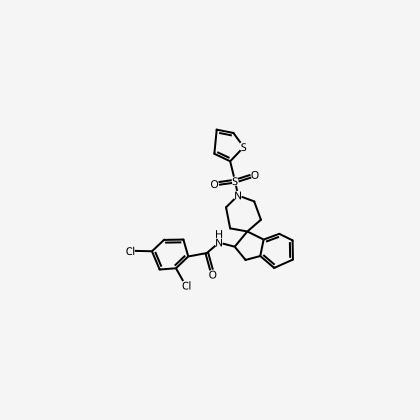 O=C(NC1Cc2ccccc2C12CCN(S(=O)(=O)c1cccs1)CC2)c1ccc(Cl)cc1Cl